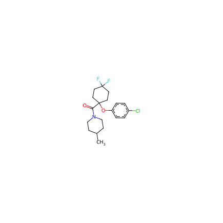 CC1CCN(C(=O)C2(Oc3ccc(Cl)cc3)CCC(F)(F)CC2)CC1